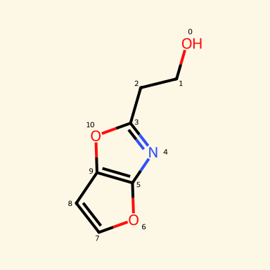 OCCc1nc2occc2o1